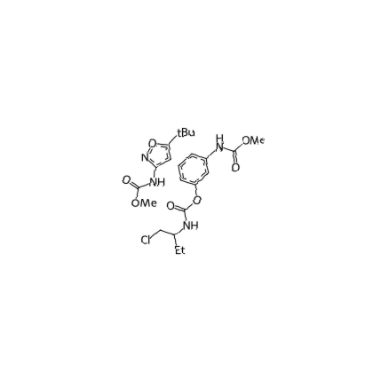 CCC(CCl)NC(=O)Oc1cccc(NC(=O)OC)c1.COC(=O)Nc1cc(C(C)(C)C)on1